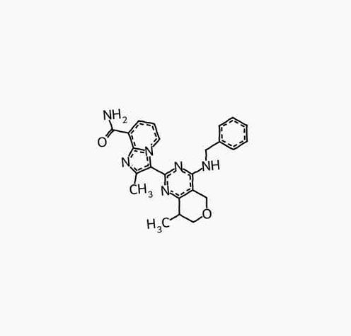 Cc1nc2c(C(N)=O)cccn2c1-c1nc(NCc2ccccc2)c2c(n1)C(C)COC2